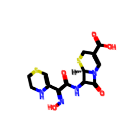 O=C(O)C1=CN2C(=O)C(NC(=O)C(=NO)C3=CSCCN3)[C@H]2SC1